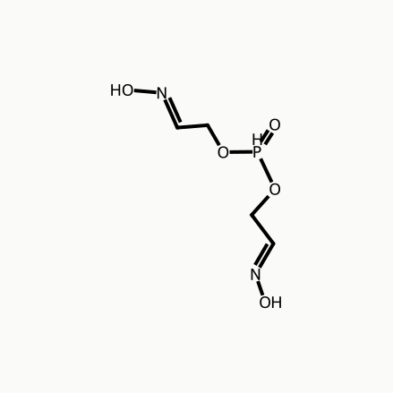 O=[PH](OCC=NO)OCC=NO